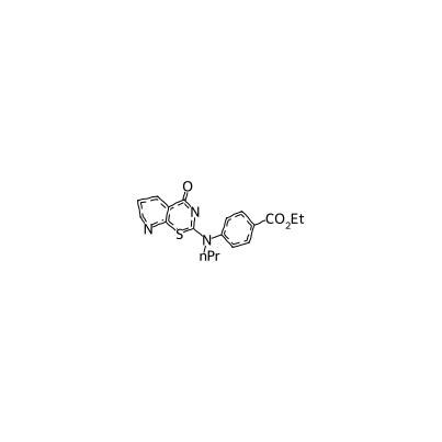 CCCN(c1ccc(C(=O)OCC)cc1)c1nc(=O)c2cccnc2s1